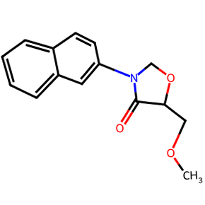 COCC1OCN(c2ccc3ccccc3c2)C1=O